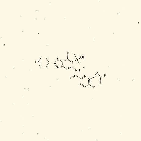 CC(C)(O)c1c(NC(=O)c2ccc(F)c(C3CC3(F)F)n2)cn2cc(C3CCNCC3)nc2c1F